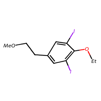 CCOc1c(I)cc(CCOC)cc1I